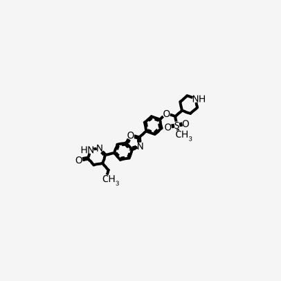 CCC1CC(=O)NN=C1c1ccc2nc(-c3ccc(OC(C4CCNCC4)S(C)(=O)=O)cc3)oc2c1